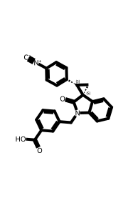 [C-]#[N+]c1ccc([C@@H]2C[C@]23C(=O)N(Cc2cccc(C(=O)O)c2)c2ccccc23)cc1